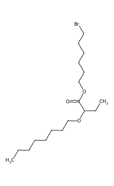 CCCCCCCCOC(CC)C(=O)OCCCCCCBr